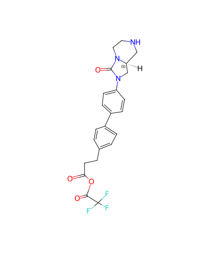 O=C(CCc1ccc(-c2ccc(N3C[C@@H]4CNCCN4C3=O)cc2)cc1)OC(=O)C(F)(F)F